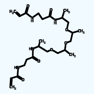 C=CC(=O)NCCC(=O)NC(C)COCC(C)OCC(C)OCC(C)NC(=O)CCNC(=O)C=C